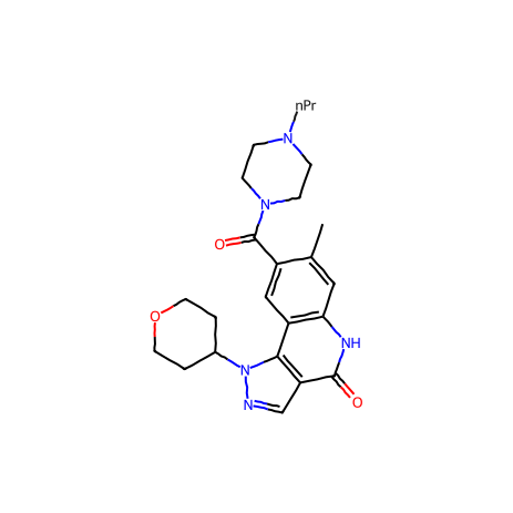 CCCN1CCN(C(=O)c2cc3c(cc2C)[nH]c(=O)c2cnn(C4CCOCC4)c23)CC1